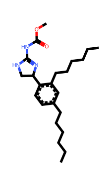 CCCCCCc1ccc(C2CNC(NC(=O)OC)=N2)c(CCCCCC)c1